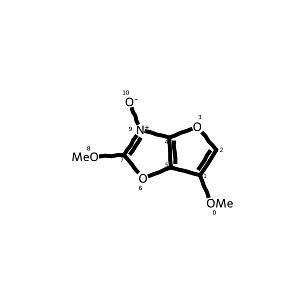 COc1coc2c1oc(OC)[n+]2[O-]